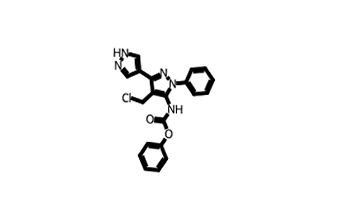 O=C(Nc1c(CCl)c(-c2cn[nH]c2)nn1-c1ccccc1)Oc1ccccc1